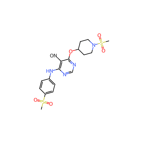 CS(=O)(=O)c1ccc(Nc2ncnc(OC3CCN(S(C)(=O)=O)CC3)c2N=O)cc1